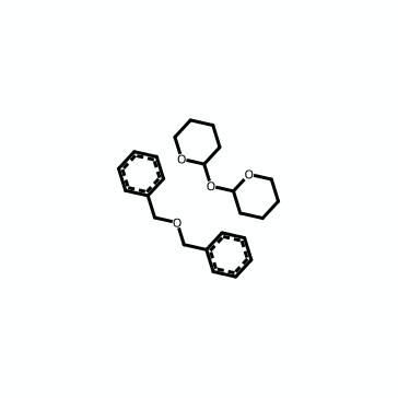 C1CCC(OC2CCCCO2)OC1.c1ccc(COCc2ccccc2)cc1